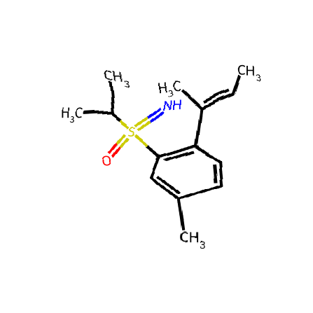 C/C=C(\C)c1ccc(C)cc1S(=N)(=O)C(C)C